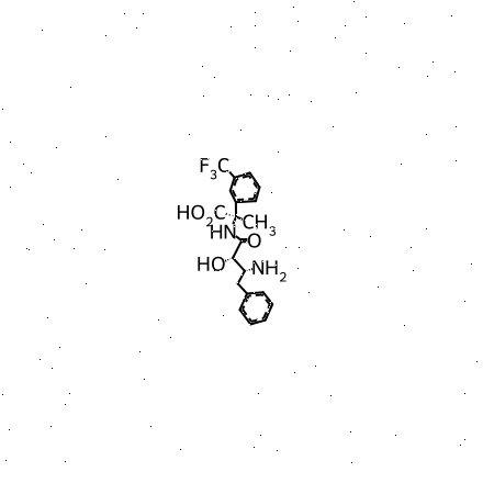 C[C@](NC(=O)[C@@H](O)[C@H](N)Cc1ccccc1)(C(=O)O)c1cccc(C(F)(F)F)c1